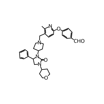 Cc1nc(Oc2ccc(C=O)cc2)ccc1CN1CCC(N2C(=O)N(C3CCOCC3)CC2c2ccccc2)CC1